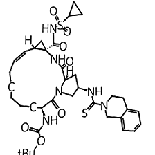 CC(C)(C)OC(=O)N[C@H]1CCCCC/C=C\[C@@H]2C[C@@]2(C(=O)NS(=O)(=O)C2CC2)NC(=O)[C@@H]2C[C@@H](NC(=S)N3CCc4ccccc4C3)CN2C1=O